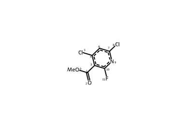 COC(=O)c1c(Cl)cc(Cl)nc1F